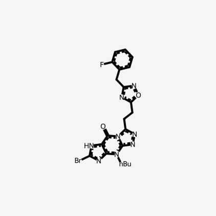 CCCCn1c2nc(Br)[nH]c2c(=O)n2c(CCc3nc(Cc4ccccc4F)no3)nnc12